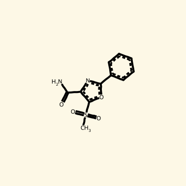 CS(=O)(=O)c1oc(-c2ccccc2)nc1C(N)=O